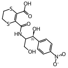 O=C(O)C1=C(C(=O)NC(CO)[C@@H](O)c2ccc([N+](=O)[O-])cc2)SCCS1